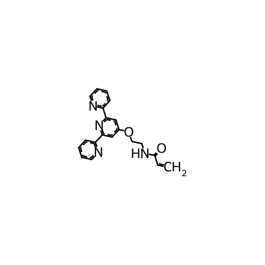 C=CC(=O)NCCOc1cc(-c2ccccn2)nc(-c2ccccn2)c1